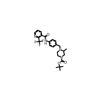 CC1CN(C(=O)OC(C)(C)C)CCN1Cc1ccc(NC(=O)c2cccnc2C(F)(F)F)cc1